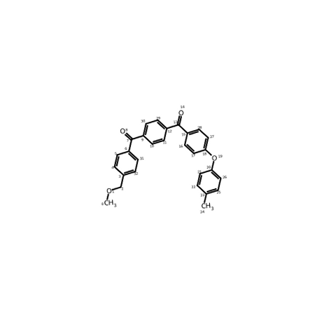 COCc1ccc(C(=O)c2ccc(C(=O)c3ccc(Oc4ccc(C)cc4)cc3)cc2)cc1